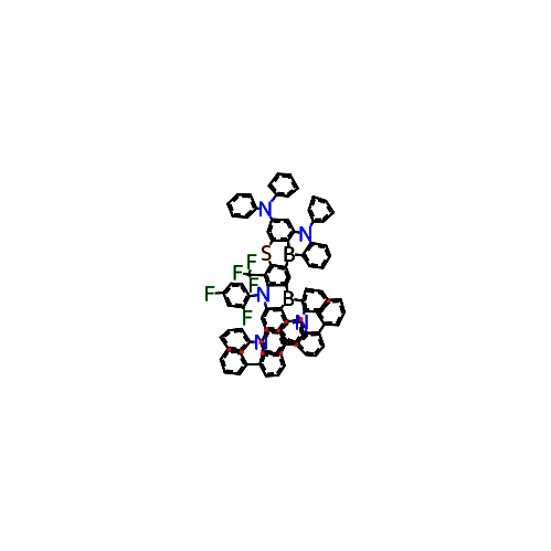 Fc1ccc(N2c3cc(N(c4ccccc4)c4c(-c5ccccc5)cccc4-c4ccccc4)cc4c3B(c3ccccc3N4c3c(-c4ccccc4)cccc3-c3ccccc3)c3cc4c(c(C(F)(F)F)c32)Sc2cc(N(c3ccccc3)c3ccccc3)cc3c2B4c2ccccc2N3c2ccccc2)c(F)c1